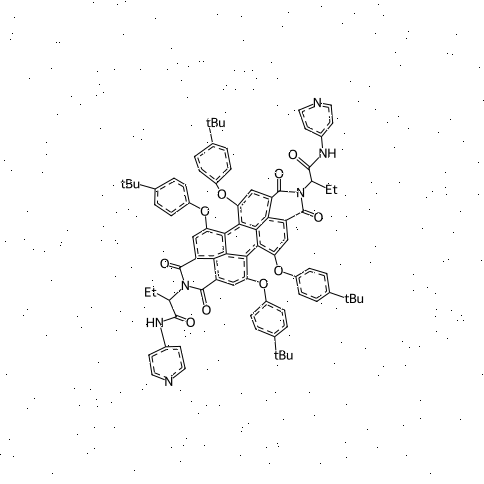 CCC(C(=O)Nc1ccncc1)N1C(=O)c2cc(Oc3ccc(C(C)(C)C)cc3)c3c4c(Oc5ccc(C(C)(C)C)cc5)cc5c6c(cc(Oc7ccc(C(C)(C)C)cc7)c(c7c(Oc8ccc(C(C)(C)C)cc8)cc(c2c37)C1=O)c64)C(=O)N(C(CC)C(=O)Nc1ccncc1)C5=O